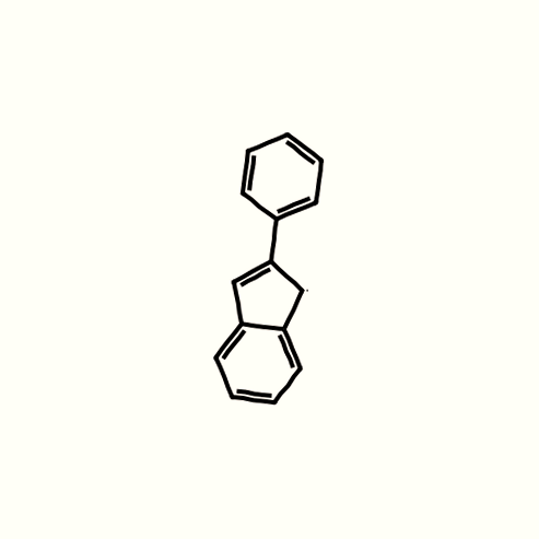 [CH]1C(c2ccccc2)=Cc2ccccc21